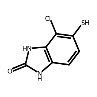 O=c1[nH]c2ccc(S)c(Cl)c2[nH]1